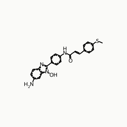 CSc1ccc(/C=C/C(=O)Nc2ccc(-c3nc4ccc(N)cc4n3O)cc2)cc1